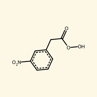 O=C(Cc1cccc([N+](=O)[O-])c1)OO